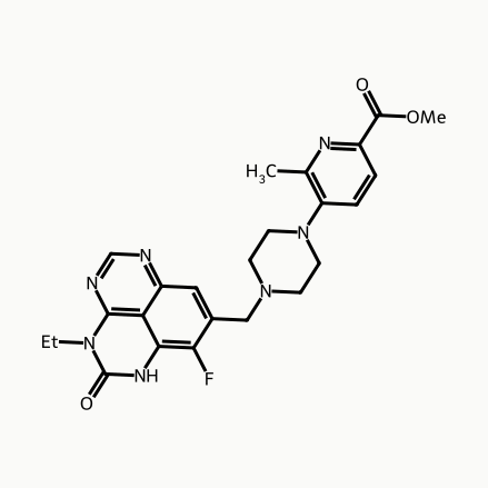 CCN1C(=O)Nc2c(F)c(CN3CCN(c4ccc(C(=O)OC)nc4C)CC3)cc3ncnc1c23